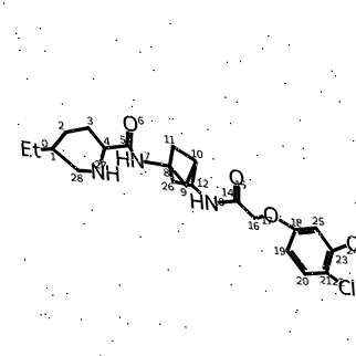 CCC1CCC(C(=O)NC23CC(C2)C(NC(=O)COc2ccc(Cl)c(Cl)c2)C3)NC1